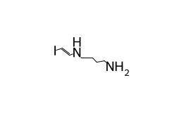 NCCCCN/C=C/I